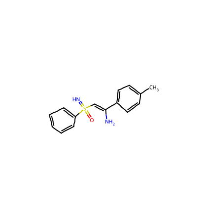 Cc1ccc(C(N)=CS(=N)(=O)c2ccccc2)cc1